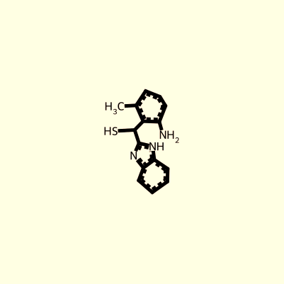 Cc1cccc(N)c1C(S)c1nc2ccccc2[nH]1